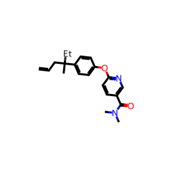 C=CCC(C)(CC)c1ccc(Oc2ccc(C(=O)N(C)C)cn2)cc1